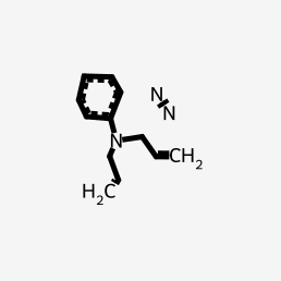 C=CCN(CC=C)c1ccccc1.N#N